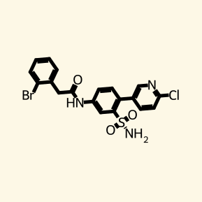 NS(=O)(=O)c1cc(NC(=O)Cc2ccccc2Br)ccc1-c1ccc(Cl)nc1